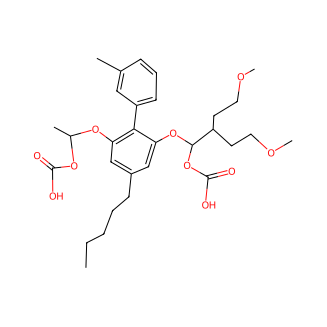 CCCCCc1cc(OC(C)OC(=O)O)c(-c2cccc(C)c2)c(OC(OC(=O)O)C(CCOC)CCOC)c1